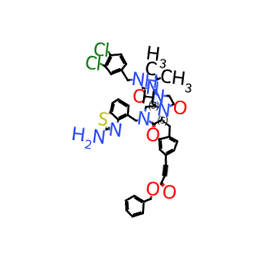 CC(C)N(C(=O)NCc1ccc(Cl)c(Cl)c1)N1CC(=O)N2[C@@H](Cc3ccc(C#CC(=O)OCc4ccccc4)cc3)C(=O)N(Cc3cccc4sc(N)nc34)C[C@@H]21